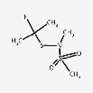 CN(SC(C)(C)F)S(C)(=O)=O